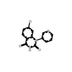 O=c1[nH]c(=O)n(-c2cccnc2)c2cc(Cl)ccc12